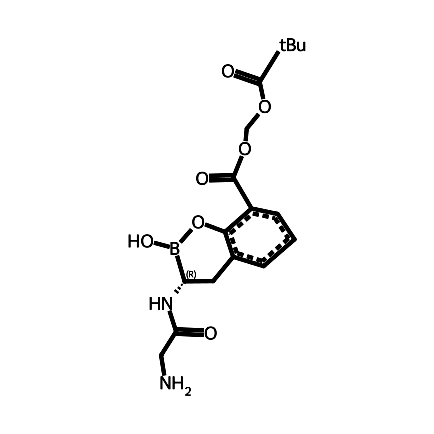 CC(C)(C)C(=O)OCOC(=O)c1cccc2c1OB(O)[C@@H](NC(=O)CN)C2